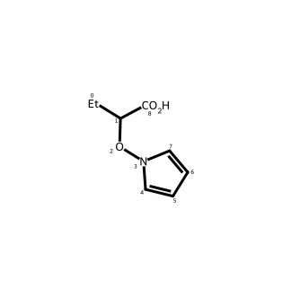 CCC(On1cccc1)C(=O)O